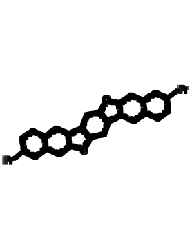 CC(C)c1ccc2cc3c(cc2c1)oc1cc2c(cc13)oc1cc3cc(C(C)C)ccc3cc12